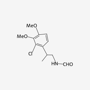 COc1ccc(C(C)CNC=O)c(Cl)c1OC